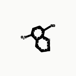 O=Nc1ccc([N+](=O)[O-])c2cccnc12